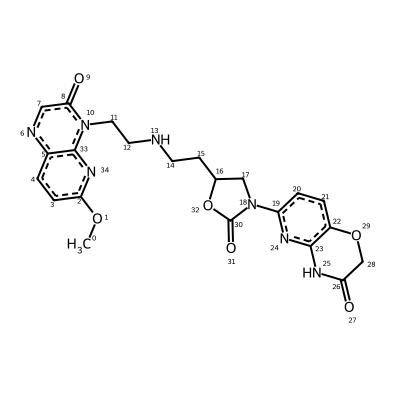 COc1ccc2ncc(=O)n(CCNCCC3CN(c4ccc5c(n4)NC(=O)CO5)C(=O)O3)c2n1